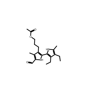 CCc1c(C)[nH]c(-c2[nH]c(C=O)c(C)c2CCCOC(C)=O)c1CC